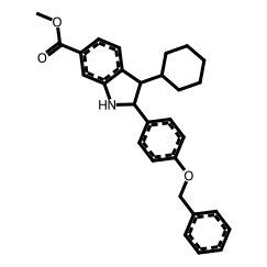 COC(=O)c1ccc2c(c1)NC(c1ccc(OCc3ccccc3)cc1)C2C1CCCCC1